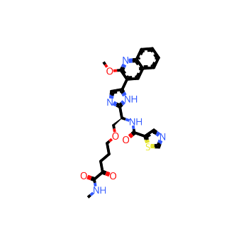 CNC(=O)C(=O)CCCOC[C@H](NC(=O)c1cncs1)c1ncc(-c2cc3ccccc3nc2OC)[nH]1